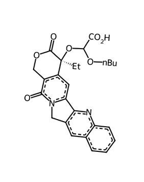 CCCCOC(O[C@]1(CC)C(=O)OCc2c1cc1n(c2=O)Cc2cc3ccccc3nc2-1)C(=O)O